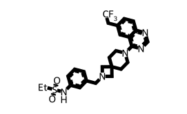 CCS(=O)(=O)Nc1cccc(CN2CC3(CCN(c4ncnc5ccc(CC(F)(F)F)cc45)CC3)C2)c1